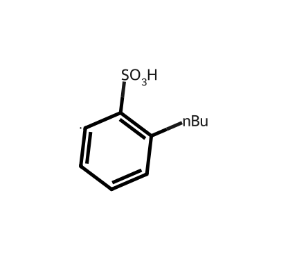 CCCCc1ccc[c]c1S(=O)(=O)O